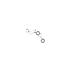 CN(C(=O)c1ccc(F)cc1)c1cc2c(CS(=O)(=O)C3=NOC(C)(C)C3)noc2cc1F